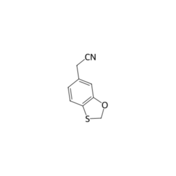 N#CCc1ccc2c(c1)OCS2